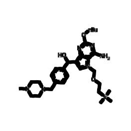 CCCCOc1nc(N)c2c(n1)c(C(O)c1ccc(CN3CCN(C)CC3)cc1)cn2COCC[Si](C)(C)C